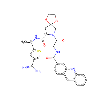 C[C@@H](NC(=O)[C@@H]1CC2(CN1C(=O)CNC(=O)c1ccc3cc4ccccc4nc3c1)OCCO2)c1cc(C(=N)N)cs1